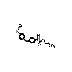 CCOCCOC(=O)Nc1ccc(Cc2ccc(N=C=O)cc2)cc1